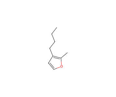 CCCCc1ccoc1C